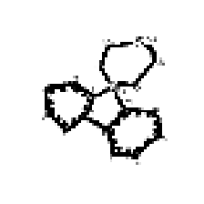 c1ccc2c(c1)-c1ccccc1[Si]21CCSCC1